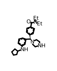 CCN(CC)C(=O)c1ccc([C@H](c2cccc(NC3CCCC3)c2)N2CCNCC2)cc1